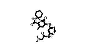 Cc1cc(Nc2cc(NC(=O)CN(C)C)ncn2)c(=O)n2c1C(=O)NC21CCCCC1